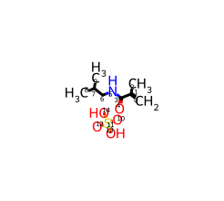 C=C(C)C(=O)NCC(C)C.O=S(=O)(O)O